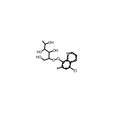 CC(O)C(O)C(O)C(CO)OOc1c(I)cc(Cl)c2cccnc12